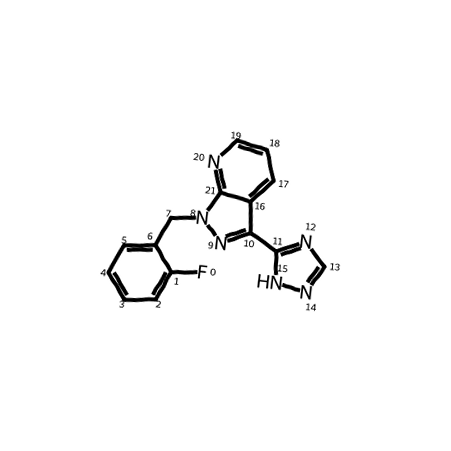 Fc1ccccc1Cn1nc(-c2ncn[nH]2)c2cccnc21